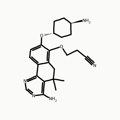 CC1(C)Cc2c(ccc(O[C@H]3CC[C@H](N)CC3)c2OCCC#N)-c2ncnc(N)c21